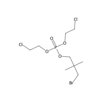 CC(C)(CBr)COP(=O)(OCCCl)OCCCl